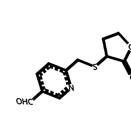 O=Cc1ccc(CSC2CCOC2=O)nc1